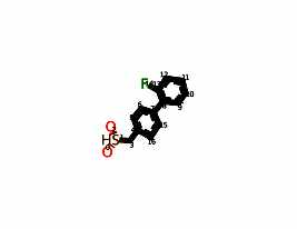 O=[SH](=O)Cc1ccc(-c2[c]cccc2F)cc1